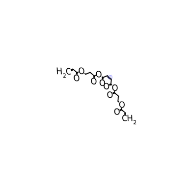 C=CC(=O)OCCC(=O)OC(=O)/C=C\C(=O)OC(=O)CCOC(=O)C=C